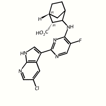 O=C(O)[C@H]1C(Nc2nc(-c3c[nH]c4ncc(Cl)cc34)ncc2F)C2CC[C@@H]1C2